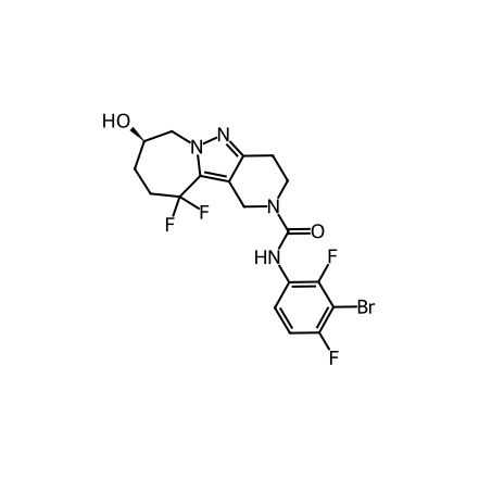 O=C(Nc1ccc(F)c(Br)c1F)N1CCc2nn3c(c2C1)C(F)(F)CC[C@@H](O)C3